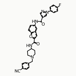 N#Cc1ccc(CN2CCC(NC(=O)c3cc4cc(NC(=O)c5cnn(-c6ccc(F)cc6)c5)ccc4o3)CC2)cc1